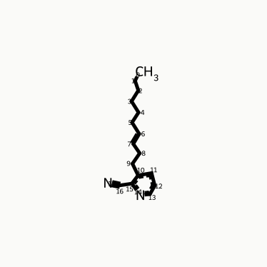 CCCCCCC=CCCc1cccnc1C#N